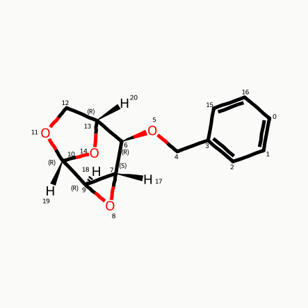 c1ccc(CO[C@H]2[C@@H]3O[C@H]3[C@@H]3OC[C@H]2O3)cc1